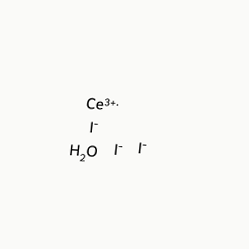 O.[Ce+3].[I-].[I-].[I-]